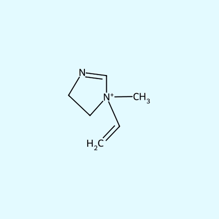 C=C[N+]1(C)C=NCC1